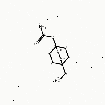 NC(=O)OC12CCC(CO)(CC1)CC2